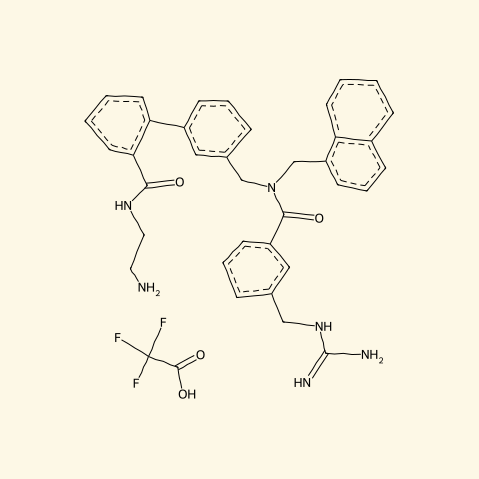 N=C(N)NCc1cccc(C(=O)N(Cc2cccc(-c3ccccc3C(=O)NCCN)c2)Cc2cccc3ccccc23)c1.O=C(O)C(F)(F)F